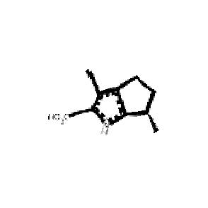 Cc1c(C(=O)O)[nH]c2c1CC[C@H]2C